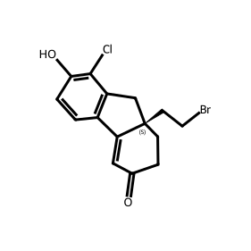 O=C1C=C2c3ccc(O)c(Cl)c3C[C@]2(CCBr)CC1